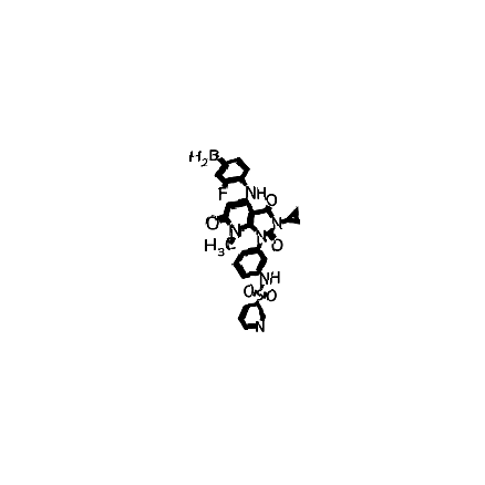 Bc1ccc(Nc2cc(=O)n(C)c3c2c(=O)n(C2CC2)c(=O)n3-c2cccc(NS(=O)(=O)C3C=CC=NC3)c2)c(F)c1